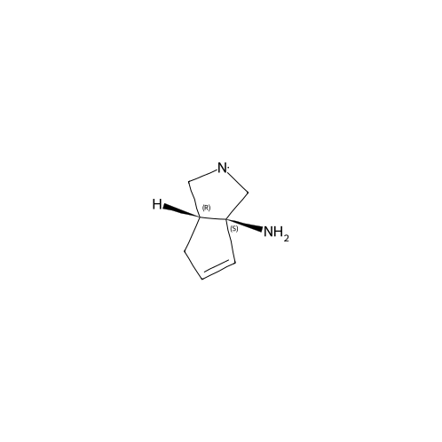 N[C@@]12C=CC[C@@H]1C[N]C2